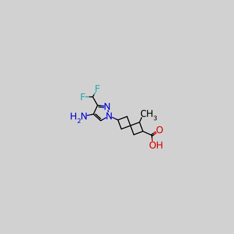 CC1C(C(=O)O)CC12CC(n1cc(N)c(C(F)F)n1)C2